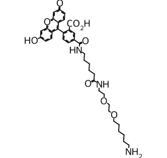 NCCCCCCOCCOCCNC(=O)CCCCCNC(=O)c1ccc(-c2c3ccc(=O)cc-3oc3cc(O)ccc23)c(C(=O)O)c1